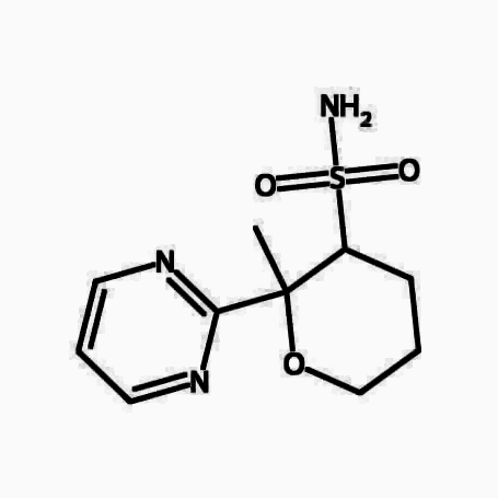 CC1(c2ncccn2)OCCCC1S(N)(=O)=O